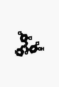 O=C(c1ccc(O)c(Cl)c1)N(Cc1cccnc1)Cc1ccc(Cl)cc1Cl